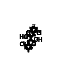 O=C(O)C(Cc1ccccc1Cl)=C(Cc1ccccc1Cl)C(=O)O